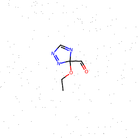 CCOC1(C=O)N=CN=N1